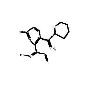 C=C(c1ccc(Cl)nc1/C(C=O)=N\C)C1CCCCO1